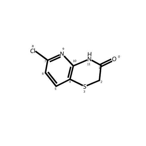 O=C1CSc2ccc(Cl)nc2N1